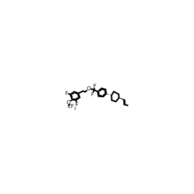 C/C=C/[C@H]1CC[C@H](c2ccc(C(F)(F)OCCc3cc(F)c(OC(F)(F)F)c(F)c3)cc2)CC1